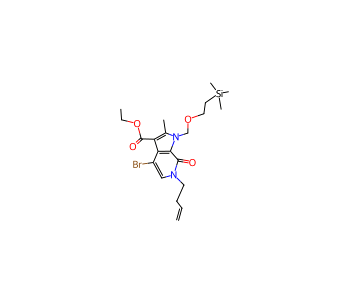 C=CCCn1cc(Br)c2c(C(=O)OCC)c(C)n(COCC[Si](C)(C)C)c2c1=O